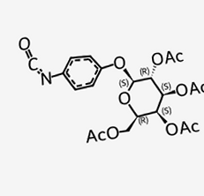 CC(=O)OC[C@H]1O[C@@H](Oc2ccc(N=C=O)cc2)[C@H](OC(C)=O)[C@@H](OC(C)=O)[C@H]1OC(C)=O